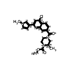 CCCOC(=O)N1CCN(C(=O)c2ccc3c(Cl)cc(-c4ccn(C)c4)nc3c2)C[C@H]1C